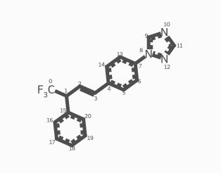 FC(F)(F)C(/C=C/c1ccc(-n2cncn2)cc1)c1ccccc1